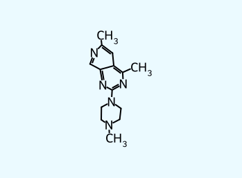 Cc1cc2c(C)nc(N3CCN(C)CC3)nc2cn1